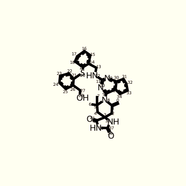 C=C1CC2(CC(C)(C)N1c1nc(NCc3ccccc3Sc3ccccc3CO)nc3ccccc13)NC(=O)NC2=O